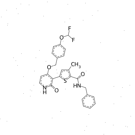 Cc1cc(-c2c(OCc3ccc(OC(F)F)cc3)cc[nH]c2=O)sc1C(=O)NCc1ccccc1